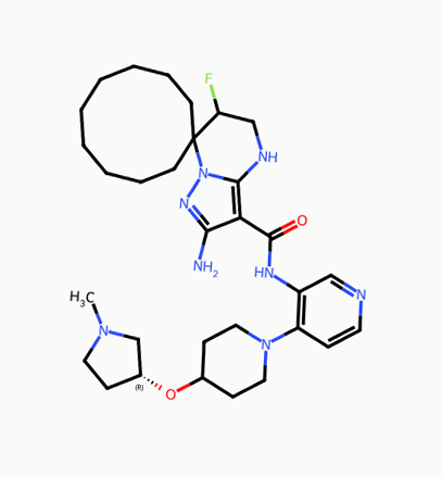 CN1CC[C@@H](OC2CCN(c3ccncc3NC(=O)c3c(N)nn4c3NCC(F)C43CCCCCCCCC3)CC2)C1